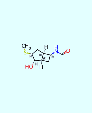 CS[C@H]1C[C@@H]2[C@@H](C[C@@H]2NC=O)[C@@H]1O